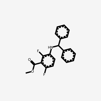 COC(=O)c1c(F)ccc(NC(c2ccccc2)c2ccccc2)c1F